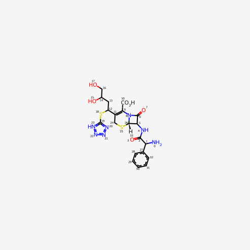 NC(C(=O)NC1C(=O)N2C(C(=O)O)=C(C(CC(O)CO)Sc3nnn[nH]3)CS[C@@H]12)c1ccccc1